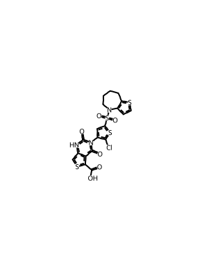 O=C(O)c1scc2[nH]c(=O)n(-c3cc(S(=O)(=O)N4CCCCc5sccc54)sc3Cl)c(=O)c12